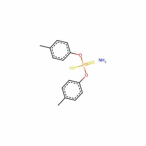 Cc1ccc(OP(=S)(S)Oc2ccc(C)cc2)cc1.N